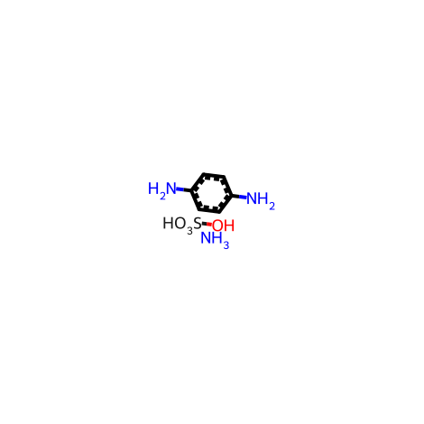 N.Nc1ccc(N)cc1.O=S(=O)(O)O